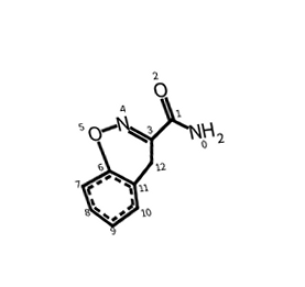 NC(=O)C1=NOc2ccccc2C1